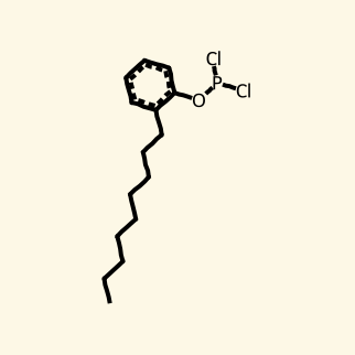 CCCCCCCCCc1ccccc1OP(Cl)Cl